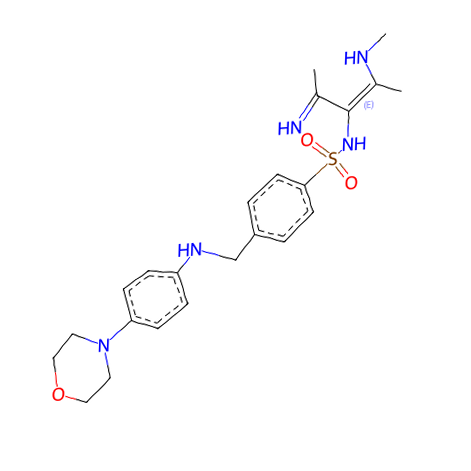 CN/C(C)=C(/NS(=O)(=O)c1ccc(CNc2ccc(N3CCOCC3)cc2)cc1)C(C)=N